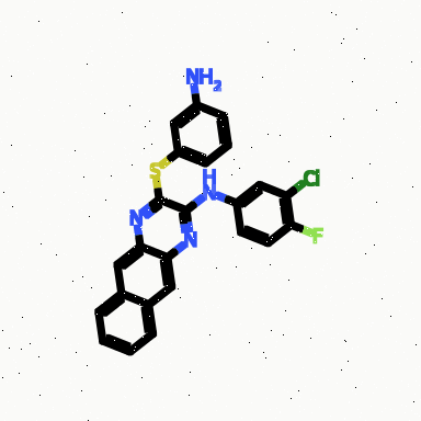 Nc1cccc(Sc2nc3cc4ccccc4cc3nc2Nc2ccc(F)c(Cl)c2)c1